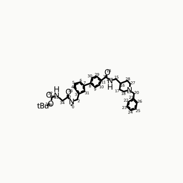 CN(Cc1cccc(-c2ccc(C(=O)NCC3CCN(Cc4ccccc4)CC3)cc2)c1)C(=O)CNC(=O)OC(C)(C)C